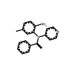 C=C(c1ccccc1)N(c1ccncc1)c1cc(C)ccc1N